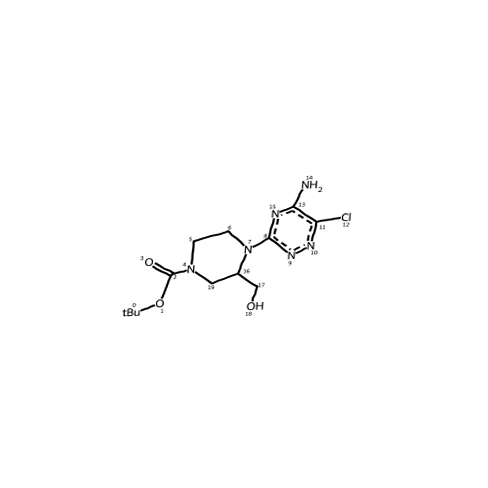 CC(C)(C)OC(=O)N1CCN(c2nnc(Cl)c(N)n2)C(CO)C1